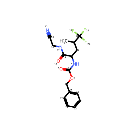 CC(CC(NC(=O)OCc1ccccc1)C(=O)NCC#N)C(F)(F)F